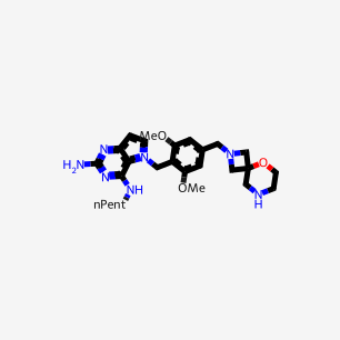 CCCCCNc1nc(N)nc2ccn(Cc3c(OC)cc(CN4CC5(CNCCO5)C4)cc3OC)c12